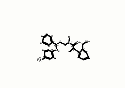 CC(C)Cc1ccccc1C(C)C(=O)N(C)CC[C@@H](Oc1ccc(C(F)(F)F)cc1)c1ccccc1